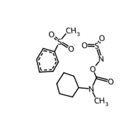 CN(C(=O)ON=S(=O)=O)C1CCCCC1.CS(=O)(=O)c1ccccc1